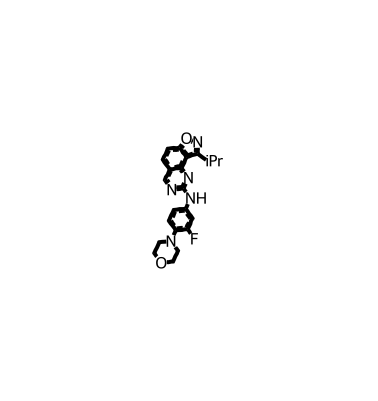 CC(C)c1noc2ccc3cnc(Nc4ccc(N5CCOCC5)c(F)c4)nc3c12